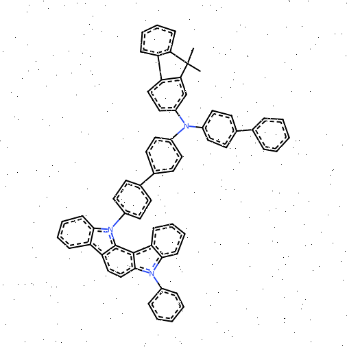 CC1(C)c2ccccc2-c2ccc(N(c3ccc(-c4ccccc4)cc3)c3ccc(-c4ccc(-n5c6ccccc6c6ccc7c(c8ccccc8n7-c7ccccc7)c65)cc4)cc3)cc21